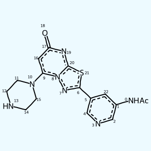 CC(=O)Nc1cncc(-c2nn3c(N4CCNCC4)cc(=O)nc3s2)c1